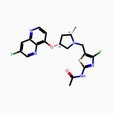 CC(=O)Nc1nc(F)c(CN2C[C@H](Oc3ccnc4cc(F)cnc34)C[C@@H]2C)s1